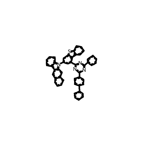 c1ccc(-c2ccc(-c3nc(-c4ccccc4)nc(-c4cc(-n5c6ccccc6c6cc7ccccc7cc65)cc5sc6ccccc6c45)n3)cc2)cc1